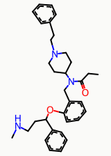 CCC(=O)N(Cc1ccccc1OC(CCNC)c1ccccc1)C1CCN(CCc2ccccc2)CC1